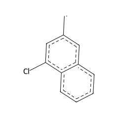 [CH2]c1cc(Cl)c2ccccc2c1